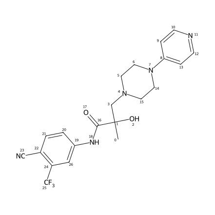 CC(O)(CN1CCN(c2ccncc2)CC1)C(=O)Nc1ccc(C#N)c(C(F)(F)F)c1